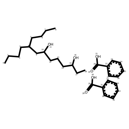 CCCCC(CCCC)CC(O)CCCC(O)CC.O=C(O)c1ccccc1.O=C(O)c1ccccc1